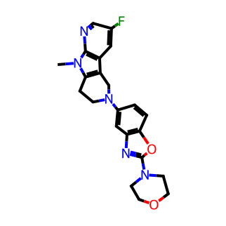 Cn1c2c(c3cc(F)cnc31)CN(c1ccc3oc(N4CCOCC4)nc3c1)CC2